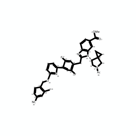 COC(=O)c1ccc2nc(Cc3cc(F)c(-c4cccc(OCc5ccc(C#N)cc5F)n4)cc3F)n([C@H]3CN(C(C)=O)CC34CC4)c2c1